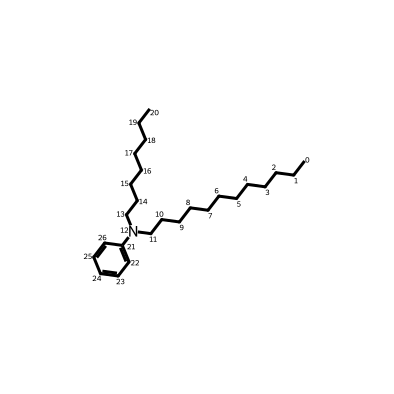 CCCCCCCCCCCCN(CCCCCCCC)c1ccccc1